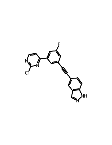 Fc1cc(C#Cc2ccc3[nH]ncc3c2)cc(-c2ccnc(Cl)n2)c1